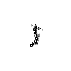 COc1cc2nccc(Oc3cccc(NC(=O)Nc4ccc(N5CCC(NC(=O)CN6CCCCCC6)CC5)c(C(F)(F)F)c4)c3)c2cc1OC